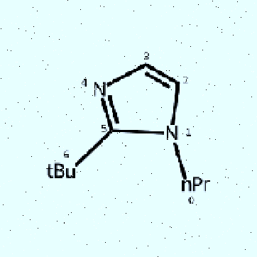 CCCn1ccnc1C(C)(C)C